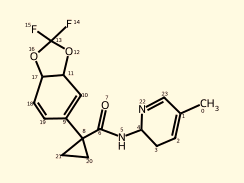 CC1=CCC(NC(=O)C2(C3=CC4OC(F)(F)OC4C=C3)CC2)N=C1